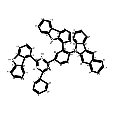 c1ccc(-c2nc(-c3ccc(-n4c5ccccc5c5cc6ccccc6cc54)c(-c4cccc5c4sc4ccccc45)c3)nc(-c3cccc4sc5ccccc5c34)n2)cc1